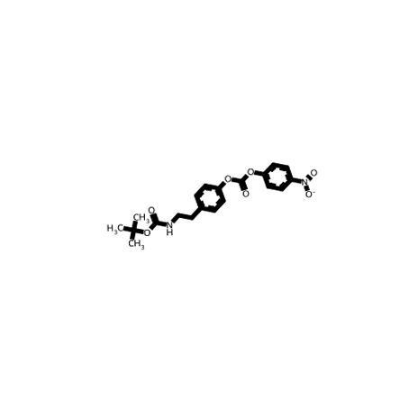 CC(C)(C)OC(=O)NCCc1ccc(OC(=O)Oc2ccc([N+](=O)[O-])cc2)cc1